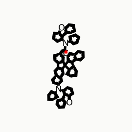 c1ccc(N(c2ccc3cc4c(cc3c2)C2(c3ccccc3-c3c2ccc2ccccc32)c2c-4ccc3cc(N(c4ccccc4)c4cccc5oc6ccccc6c45)ccc23)c2cccc3oc4ccccc4c23)cc1